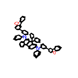 C1=C(c2cccc(N(c3ccccc3)c3ccc4c(c3)C(c3ccccc3)(c3ccccc3)c3cc(N(c5ccccc5)c5cccc(-c6ccc7oc8ccccc8c7c6)c5)c5ccccc5c3-4)c2)CC2C(=C1)Oc1ccccc12